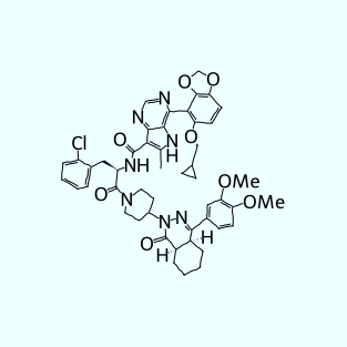 COc1ccc(C2=NN(C3CCN(C(=O)[C@@H](Cc4ccccc4Cl)NC(=O)c4c(C)[nH]c5c(-c6c(OCC7CC7)ccc7c6OCO7)ncnc45)CC3)C(=O)[C@@H]3CCCC[C@H]23)cc1OC